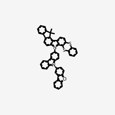 CC1(C)c2ccccc2-c2ccc3c(c21)c1ccc2c(c1n3-c1ccc3c(c1)c1ccccc1n3-c1ccc3oc4ccccc4c3c1)Sc1ccccc1S2